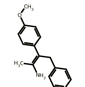 COc1ccc(/C(Cc2ccccc2)=C(\C)N)cc1